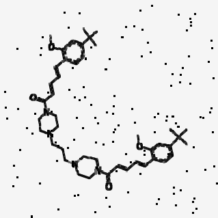 COc1cc(C(C)(C)C)ccc1C=CC=CC(=O)N1CCN(CCCN2CCN(C(=O)C=CC=Cc3ccc(C(C)(C)C)cc3OC)CC2)CC1